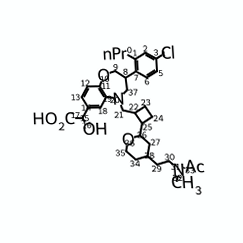 CCCc1cc(Cl)ccc1C1COc2ccc(C(O)C(=O)O)cc2N(CC2CCC2C2CC(CCN(C)C(C)=O)CCO2)C1